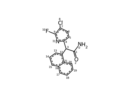 NC(=O)C(c1ccc(Cl)c(F)n1)c1cccc2ccccc12